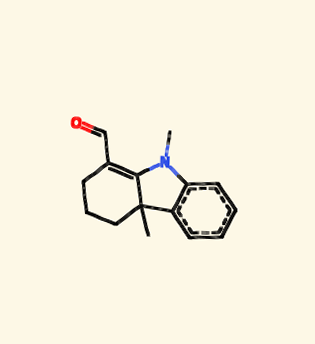 CN1C2=C(C=O)CCCC2(C)c2ccccc21